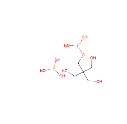 OCC(CO)(CO)COP(O)O.OP(O)O